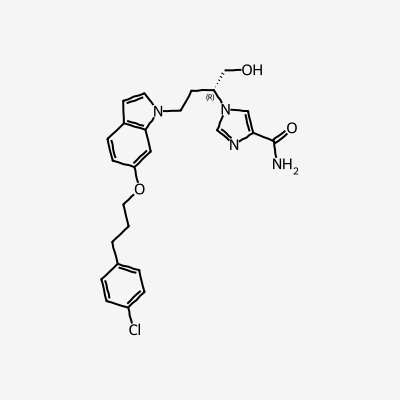 NC(=O)c1cn([C@@H](CO)CCn2ccc3ccc(OCCCc4ccc(Cl)cc4)cc32)cn1